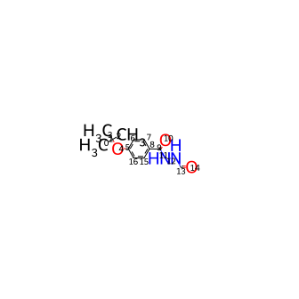 CC(C)(C)Oc1ccc(C(=O)NNC=O)cc1